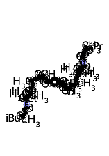 CCC(C)OC(C)CCC(=O)/C=C/C(=O)C(C)(CC)C(C)(C)OCCC(C)CCC(=O)C(C)(C)OC(=O)C1CCC(C(=O)OC(C)(C)C(=O)CCC(C)CCOC(C)(C)C(C)(C)C(=O)/C=C/C(=O)OCC(C)OC(C)C)CC1